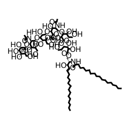 CCCCCCCCCCCCC/C=C/[C@@H](O)[C@H](CO[C@@H]1OC(CO)[C@@H](O[C@@H]2OC(CO)[C@H](O)[C@H](O[C@@H]3OC(CO)[C@@H](O[C@@H]4OC(CO)[C@H](O)[C@H](O[C@@H]5OC(CO)[C@@H](O)[C@H](O[C@@H]6OC(CO)[C@H](O)[C@H](O)C6O)C5NC(C)=O)C4O)[C@H](O)C3NC(C)=O)C2O)[C@H](O)C1O)NC(=O)CCCCCCCCCCCCCCCCC